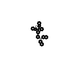 c1cc(-c2ccc3c(c2)-c2ccccc2C32c3ccc4ccccc4c3Oc3c2ccc2ccccc32)cc(N(c2ccc3ccccc3c2)c2ccc3ccccc3c2)c1